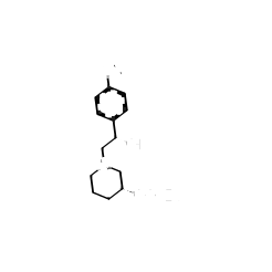 CCOC(=O)[C@H]1CCCN(C[C@@H](O)c2ccc(C#N)cc2)C1